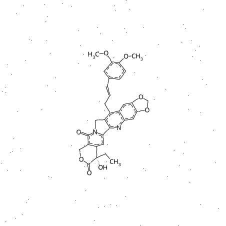 CC[C@@]1(O)C(=O)OCc2c1cc1n(c2=O)Cc2c-1nc1cc3c(cc1c2C/C=C/c1ccc(OC)c(OC)c1)OCO3